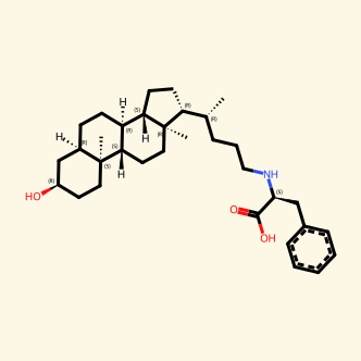 C[C@H](CCCN[C@@H](Cc1ccccc1)C(=O)O)[C@H]1CC[C@H]2[C@@H]3CC[C@@H]4C[C@H](O)CC[C@]4(C)[C@H]3CC[C@]12C